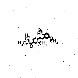 CCN(CC)C(=O)C1CCC(CCc2cc(OC)ccc2NC=O)N(C)C1